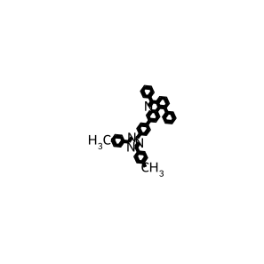 Cc1ccc(-c2nc(-c3ccc(C)cc3)nc(-c3ccc(-c4ccc5c(c4)nc(-c4ccccc4)c4cccc(-c6ccccc6)c45)cc3)n2)cc1